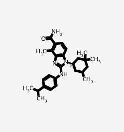 Cc1c(C(N)=O)ccc2c1nc(Nc1ccc(C(C)C)cc1)n2[C@@H]1CC(C)CC(C)(C)C1